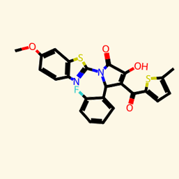 COc1ccc2nc(N3C(=O)C(O)=C(C(=O)c4ccc(C)s4)C3c3ccccc3F)sc2c1